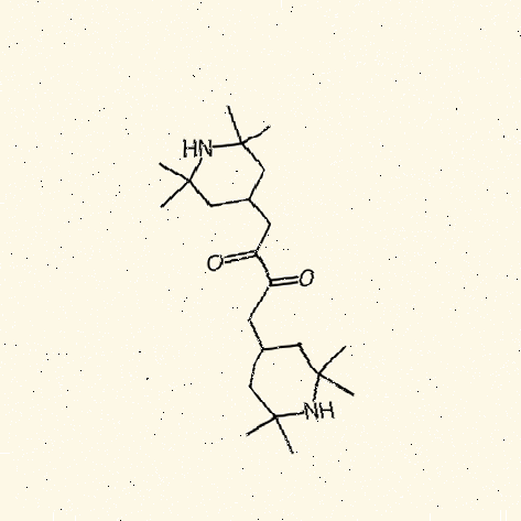 CC1(C)CC(CC(=O)C(=O)CC2CC(C)(C)NC(C)(C)C2)CC(C)(C)N1